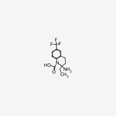 CCC1(N)CCc2cc(C(F)(F)F)ccc2N1C(=O)O